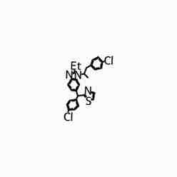 CCc1nc2ccc(C(c3ccc(Cl)cc3)c3nccs3)cc2n1C(C)Cc1ccc(Cl)cc1